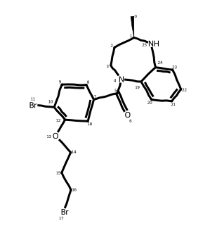 C[C@@H]1CCN(C(=O)c2ccc(Br)c(OCCCBr)c2)c2ccccc2N1